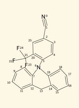 N#Cc1ccc(N2c3ccccc3Cc3ccccc32)c(C(F)(F)F)c1